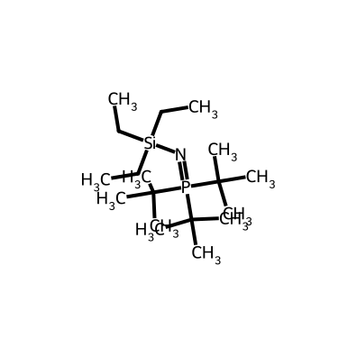 CC[Si](CC)(CC)N=P(C(C)(C)C)(C(C)(C)C)C(C)(C)C